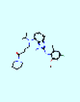 COc1cc(Br)cc(C)c1Nc1nc2cccc(N(CCCC(=O)N3CCCCC3)C(C)C)c2n1C